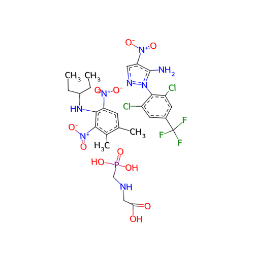 CCC(CC)Nc1c([N+](=O)[O-])cc(C)c(C)c1[N+](=O)[O-].Nc1c([N+](=O)[O-])cnn1-c1c(Cl)cc(C(F)(F)F)cc1Cl.O=C(O)CNCP(=O)(O)O